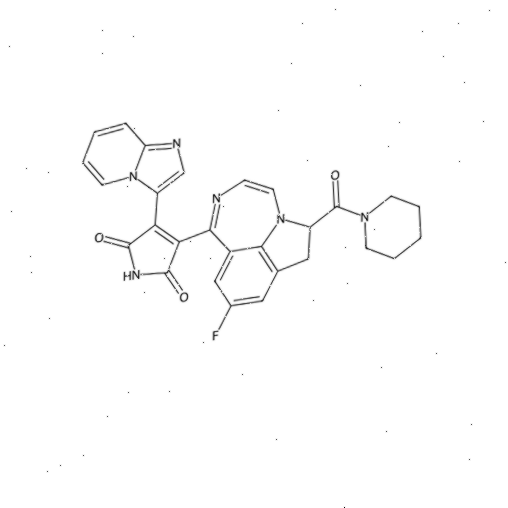 O=C1NC(=O)C(c2cnc3ccccn23)=C1C1=NC=CN2c3c(cc(F)cc31)CC2C(=O)N1CCCCC1